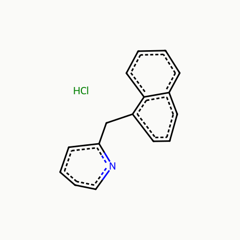 Cl.c1ccc(Cc2cccc3ccccc23)nc1